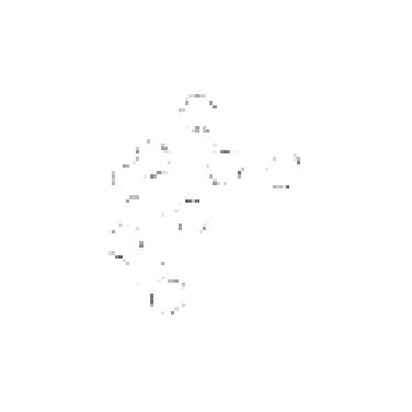 c1ccc(-c2cc(-c3ccccc3)nc(-c3cccc(-n4c5c6c(ccc5c5ccc7ccccc7c54)Oc4ccccc4O6)c3)n2)cc1